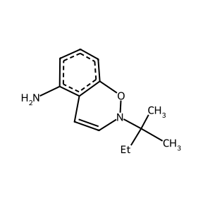 CCC(C)(C)N1C=Cc2c(N)cccc2O1